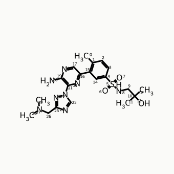 Cc1ccc(S(=O)(=O)NCC(C)(C)O)cc1-c1cnc(N)c(-n2cnc(CN(C)C)n2)n1